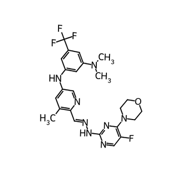 Cc1cc(Nc2cc(N(C)C)cc(C(F)(F)F)c2)cnc1/C=N/Nc1ncc(F)c(N2CCOCC2)n1